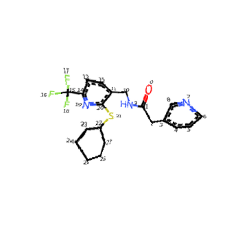 O=C(Cc1cccnc1)NCc1ccc(C(F)(F)F)nc1SC1CCCCC1